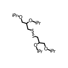 CC(C)OCC(CSSCC(COC(C)C)OC(C)C)OC(C)C